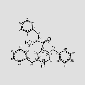 N[C@@H](Cc1ccccc1)C(=O)N1C[C@H](Cc2ccccc2)NC[C@H]1Cc1ccccc1